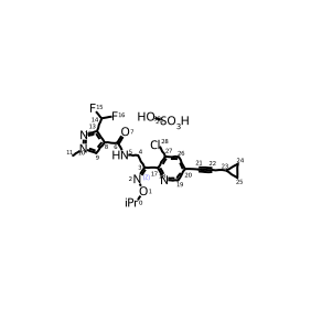 CC(C)O/N=C(/CNC(=O)c1cn(C)nc1C(F)F)c1ncc(C#CC2CC2)cc1Cl.O=S(=O)(O)O